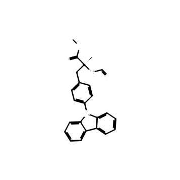 COC(=O)[C@@](C)(Cc1ccc(-n2c3ccccc3c3ccccc32)cc1)NC=O